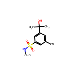 CC(C)(O)c1cc(C#N)cc(S(=O)(=O)NC=O)c1